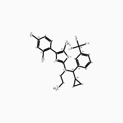 CCCN(c1nc(-c2ccc(Cl)cc2Cl)c(C)s1)C(c1cccc(C(F)(F)F)c1)C1CC1